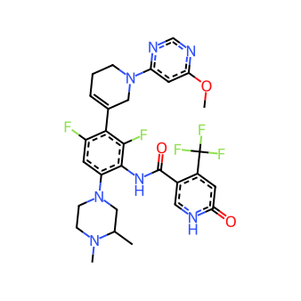 COc1cc(N2CCC=C(c3c(F)cc(N4CCN(C)C(C)C4)c(NC(=O)c4c[nH]c(=O)cc4C(F)(F)F)c3F)C2)ncn1